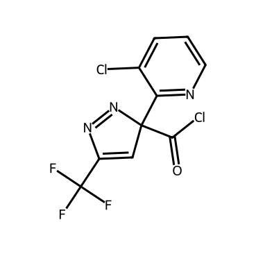 O=C(Cl)C1(c2ncccc2Cl)C=C(C(F)(F)F)N=N1